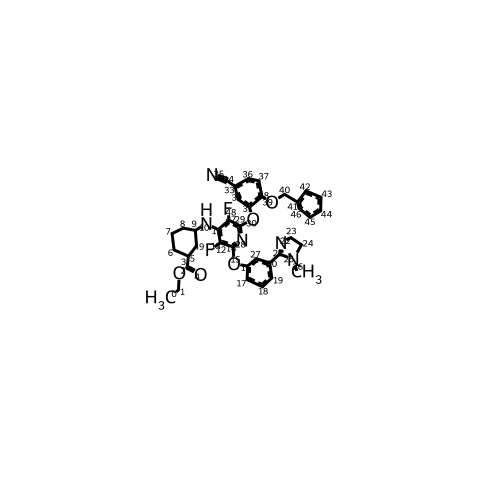 CCOC(=O)C1CCCC(Nc2c(F)c(Oc3cccc(C4=NCCN4C)c3)nc(Oc3cc(C#N)ccc3OCc3ccccc3)c2F)C1